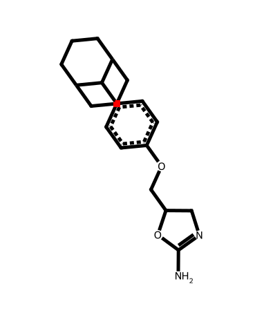 NC1=NCC(COc2ccc(C3C4CCCC3CCC4)cc2)O1